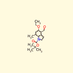 CCOc1cc(C)c2c(ccn2C(=O)OC(C)(C)C)c1C=O